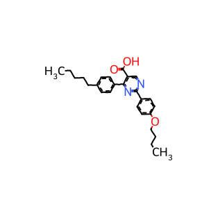 CCCCCc1ccc(-c2nc(-c3ccc(OCCCC)cc3)ncc2C(=O)O)cc1